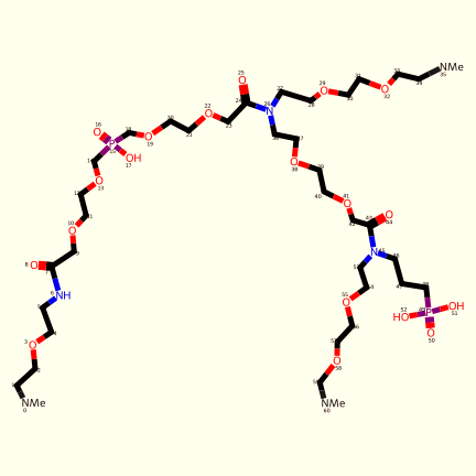 CNCCOCCNC(=O)COCCOCP(=O)(O)COCCOCC(=O)N(CCOCCOCCNC)CCOCCOCC(=O)N(CCCP(=O)(O)O)CCOCCOCNC